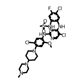 COc1cc(N2CCC(N3CCN(C)CC3)CC2)c(Cl)cc1Nc1ncc(Cl)c(Nc2cc(Cl)c(F)cc2NS(C)(=O)=O)n1